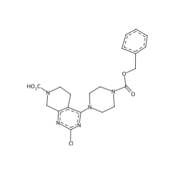 O=C(O)N1CCc2c(nc(Cl)nc2N2CCN(C(=O)OCc3ccccc3)CC2)C1